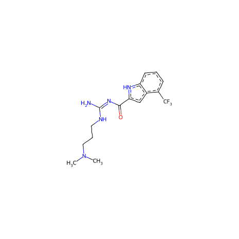 CN(C)CCCNC(N)=NC(=O)c1cc2c(C(F)(F)F)cccc2[nH]1